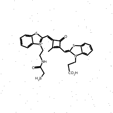 BCC(=O)NCC[n+]1c(/C=C2/C(=O)C(/C=C3\Sc4ccccc4N3CCC(=O)O)=C2C)sc2ccccc21